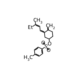 C=C1CCC(OS(=O)(=O)c2ccc(C)cc2)C/C1=C/C=C(/C)CC